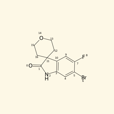 O=C1Nc2cc(Br)c(F)cc2C12CCOCC2